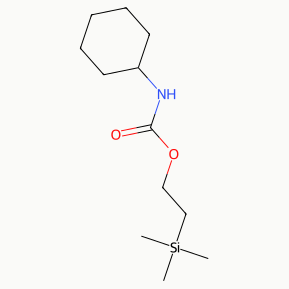 C[Si](C)(C)CCOC(=O)NC1CCCCC1